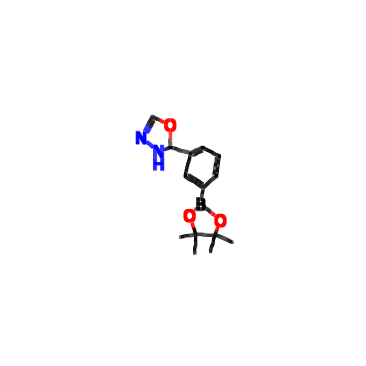 CC1(C)OB(c2cccc(C3NN=CO3)c2)OC1(C)C